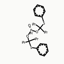 CC(C)C(O[PH](=O)OC(Sc1ccccc1)(C(C)C)C(C)C)(Sc1ccccc1)C(C)C